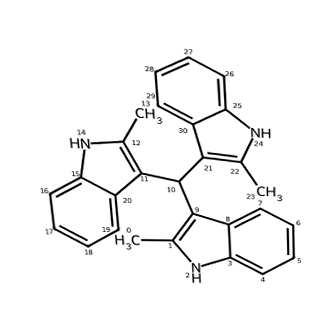 Cc1[nH]c2ccccc2c1C(c1c(C)[nH]c2ccccc12)c1c(C)[nH]c2ccccc12